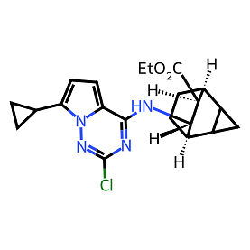 CCOC(=O)[C@@H]1[C@@H](Nc2nc(Cl)nn3c(C4CC4)ccc23)[C@@H]2CC[C@H]1C1CC12